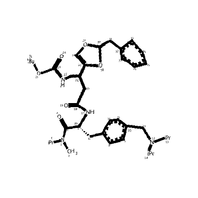 CC(C)N(C)C(=O)[C@@H](Cc1ccc(CN(C(C)C)C(C)C)cc1)NC(=O)CC(NC(=O)OC(C)(C)C)C1=COC(Cc2ccccc2)O1